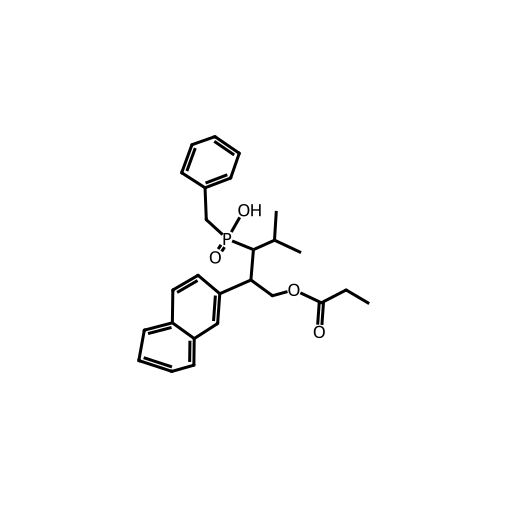 CCC(=O)OCC(c1ccc2ccccc2c1)C(C(C)C)P(=O)(O)Cc1ccccc1